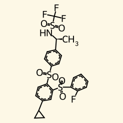 C[C@H](NS(=O)(=O)C(F)(F)F)c1ccc(S(=O)(=O)c2ccc(C3CC3)cc2S(=O)(=O)c2ccccc2F)cc1